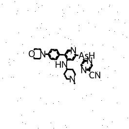 CN1CCC(Nc2cc([AsH]c3cnc(C#N)cn3)ncc2-c2ccc(N3CCOCC3)cc2)CC1